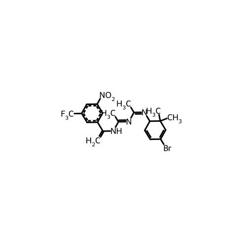 C=C(N/C(C)=N/C(C)=N\C1C=CC(Br)=CC1(C)C)c1cc([N+](=O)[O-])cc(C(F)(F)F)c1